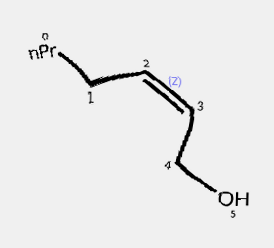 CCCC/C=C\CO